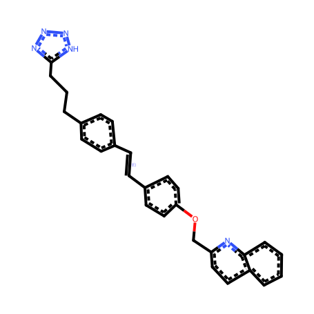 C(=C\c1ccc(OCc2ccc3ccccc3n2)cc1)/c1ccc(CCCc2nnn[nH]2)cc1